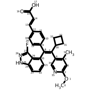 COc1cc(C)c(C(=C(c2ccc(C=CC(=O)O)cc2)c2cccc3[nH]nc(F)c23)C2CCC2)cn1